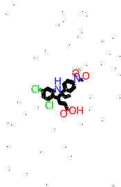 CCC1(c2ccc(N(C=O)OC)cc2)Nc2cc(Cl)cc(Cl)c2C1C=CC(=O)O